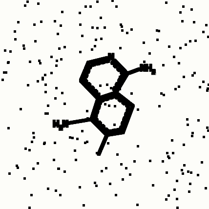 Cc1ccc2c(N)nccc2c1N